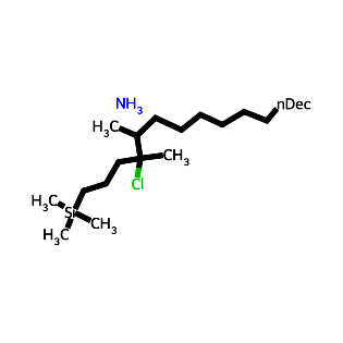 CCCCCCCCCCCCCCCCC(C)C(C)(Cl)CCC[Si](C)(C)C.N